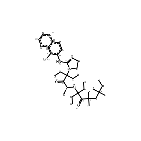 CCC(C)(C)CC(C)(C)C(=O)C(CC)(CC)O[C@@H](C)C(=O)C(CC)(CC)N1CCN=C1Nc1ccc2nccnc2c1Br